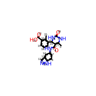 CC1=C(C(=O)Nc2ccc3[nH]ncc3c2)C(c2cccc(C(=O)O)c2C)NC(=O)N1